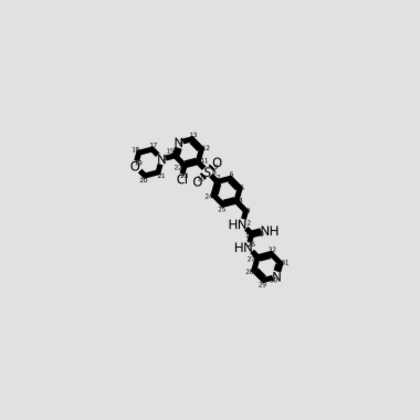 N=C(NCc1ccc(S(=O)(=O)c2ccnc(N3CCOCC3)c2Cl)cc1)Nc1ccncc1